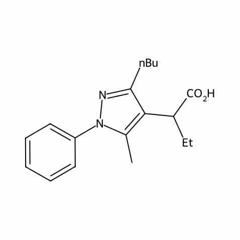 CCCCc1nn(-c2ccccc2)c(C)c1C(CC)C(=O)O